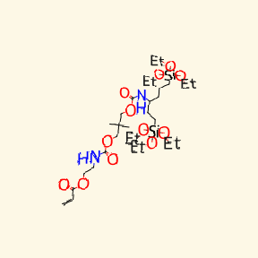 C=CC(=O)OCCNC(=O)OCC(C)(C)COC(=O)NC(CCC[Si](OCC)(OCC)OCC)CC[Si](OCC)(OCC)OCC